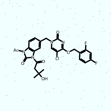 CC(=O)n1c(=O)n(C(=O)CC(C)(C)O)c2cc(Cn3cc(Cl)c(OCc4ccc(F)cc4F)nc3=O)ccc21